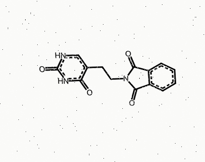 O=C1c2ccccc2C(=O)N1CCc1c[nH]c(=O)[nH]c1=O